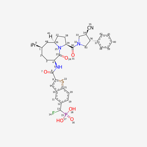 CC(C)[C@@H]1CC[C@H](NC(=O)c2cc3cc(C(F)P(=O)(O)O)ccc3s2)C(=O)N2[C@H](CC[C@H]2C(=O)N2C[C@@H](C#N)[C@H](c3ccccc3)C2)C1